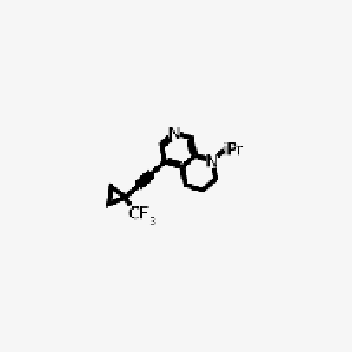 CC(C)N1CCCc2c(C#CC3(C(F)(F)F)CC3)cncc21